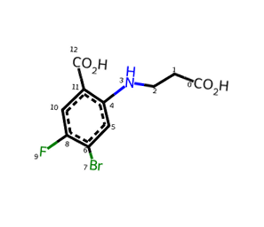 O=C(O)CCNc1cc(Br)c(F)cc1C(=O)O